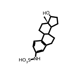 C[C@]12CCC3c4ccc(NS(=O)(=O)O)cc4CCC3C1CC[C@@H]2O